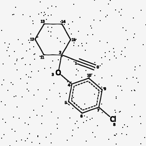 C#CC1(Oc2ccc(Cl)cc2)CCCCC1